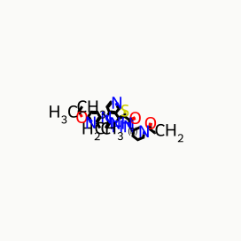 C=CC(=O)N1CCC[C@@H](NC(=O)c2sc3nccc4c3c2[nH]c(=C)n4-c2ccc(OC(C)C)nc2C)C1